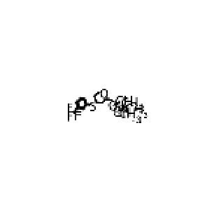 CC(C)(C)[Si](C)(C)OCC1CC(Sc2cccc(C(F)(F)F)c2)CCO1